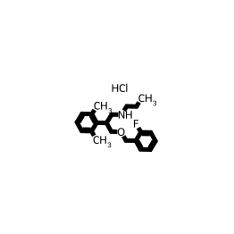 CCCNCC(COCc1ccccc1F)c1c(C)cccc1C.Cl